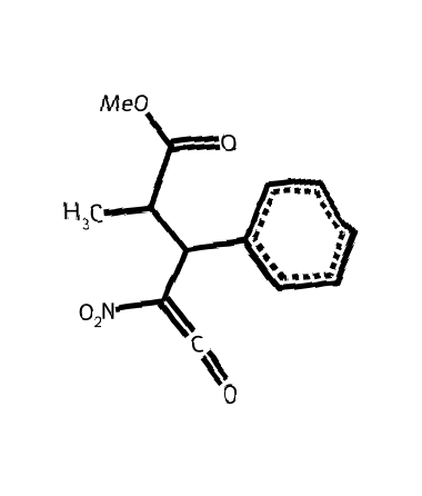 COC(=O)C(C)C(C(=C=O)[N+](=O)[O-])c1ccccc1